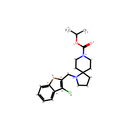 O=C(OC(C(F)(F)F)C(F)(F)F)N1CCC2(CCCN2Cc2sc3ccccc3c2Cl)CC1